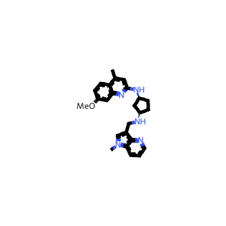 COc1ccc2c(C)cc(N[C@H]3CC[C@H](NCc4cn(C)c5cccnc45)C3)nc2c1